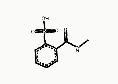 CNC(=O)c1ccccc1S(=O)(=O)O